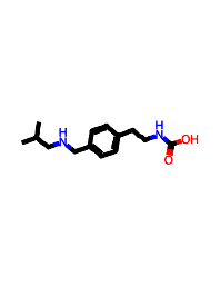 CC(C)CNCc1ccc(CCNC(=O)O)cc1